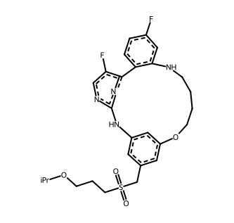 CC(C)OCCCS(=O)(=O)Cc1cc2cc(c1)OCCCCNc1cc(F)ccc1-c1nc(ncc1F)N2